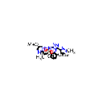 COc1cnc(C(C)C(C)S(=O)(=O)Nc2nnc(-c3ccn(C)n3)n2-c2c(OC)cccc2OC)nc1